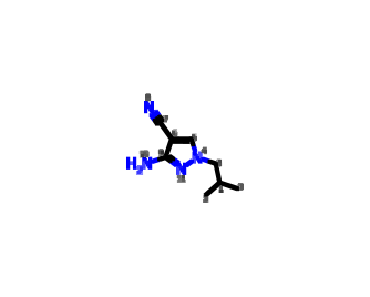 CC(C)Cn1cc(C#N)c(N)n1